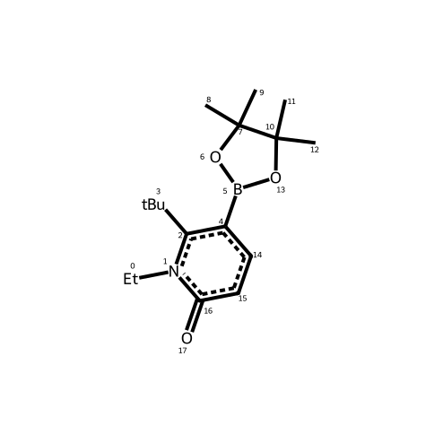 CCn1c(C(C)(C)C)c(B2OC(C)(C)C(C)(C)O2)ccc1=O